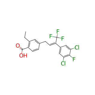 CCc1cc(CC=C(c2cc(Cl)c(F)c(Cl)c2)C(F)(F)F)ccc1C(=O)O